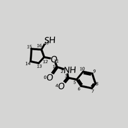 O=C(NC(=O)c1ccccc1)OC1CCCC1S